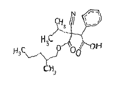 CCCC(C)COC(=O)C(C#N)(C(C)C)C(C(=O)O)c1ccccc1